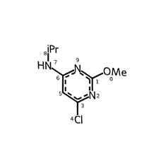 COc1nc(Cl)cc(NC(C)C)n1